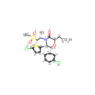 CC[C@@H](CS(=O)(=O)C(C)(C)C)N1C(=O)[C@@H](CC(=O)O)O[C@H](c2cccc(Cl)c2)[C@H]1c1ccc(Cl)s1